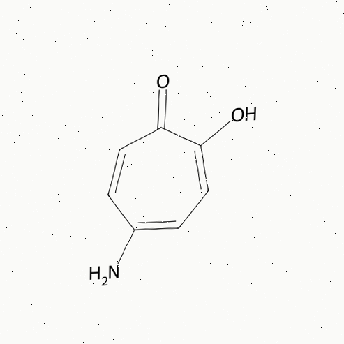 Nc1ccc(O)c(=O)cc1